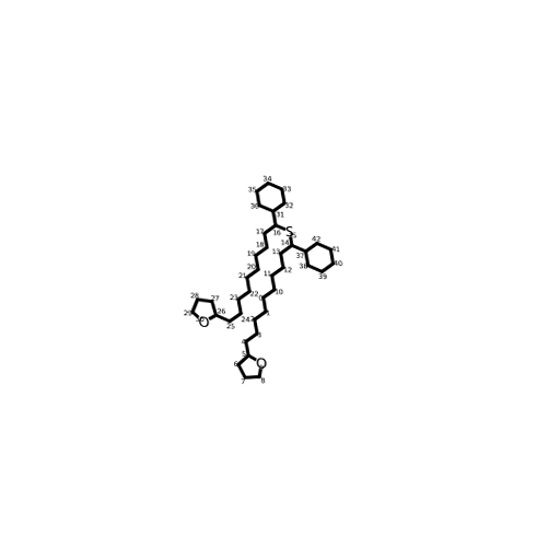 C(CCCCC1CCCO1)CCCCC(SC(CCCCCCCCCC1CCCO1)C1CCCCC1)C1CCCCC1